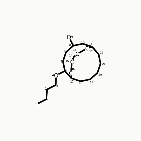 [CH2]CCCOC1CCC([O])CC2CCCCCC1CCCCC2